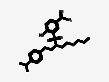 CCCOCCN(CCc1ccc(C(C)C)cc1)S(=O)(=O)c1cc(C(=N)N)ccc1O